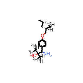 [2H]C([2H])([2H])[C@@H](CCC)COc1ccc([C@@H](N)C(O)(C([2H])([2H])[2H])C([2H])([2H])[2H])cc1